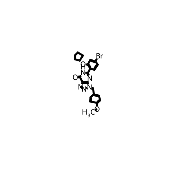 COc1ccc(Cn2nnc3c(=O)[nH]c(-c4ccc(Br)cc4OC4CCCC4)nc32)cc1